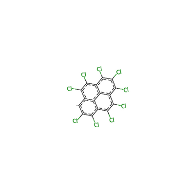 Clc1[c]c2c(Cl)c(Cl)c3c(Cl)c(Cl)c(Cl)c4c(Cl)c(Cl)c(c1Cl)c2c34